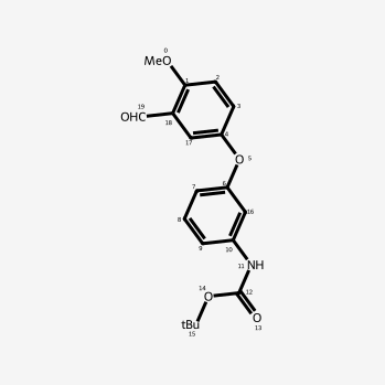 COc1ccc(Oc2cccc(NC(=O)OC(C)(C)C)c2)cc1C=O